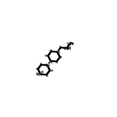 CC(C)NC[C@H]1CC[C@H](N2CCNCC2)CC1